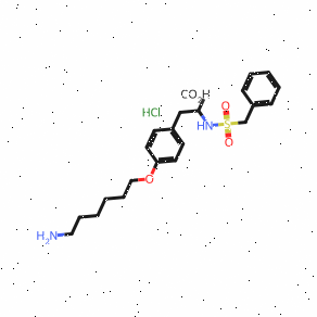 Cl.NCCCCCCOc1ccc(CC(NS(=O)(=O)Cc2ccccc2)C(=O)O)cc1